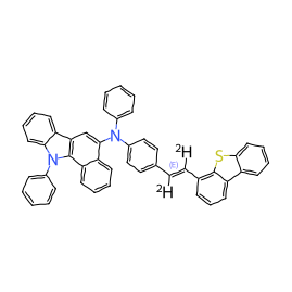 [2H]/C(=C(/[2H])c1cccc2c1sc1ccccc12)c1ccc(N(c2ccccc2)c2cc3c4ccccc4n(-c4ccccc4)c3c3ccccc23)cc1